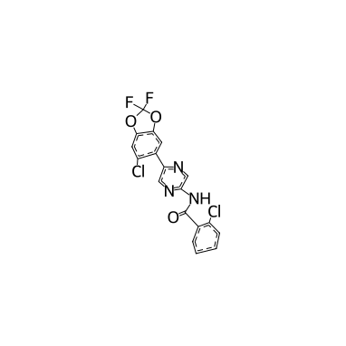 O=C(Nc1cnc(-c2cc3c(cc2Cl)OC(F)(F)O3)cn1)c1ccccc1Cl